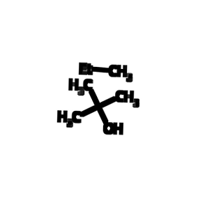 CC(C)(C)O.CCC